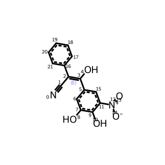 N#C/C(=C(/O)c1cc(O)c(O)c([N+](=O)[O-])c1)c1ccccc1